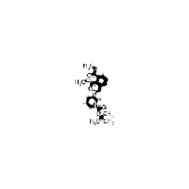 COC(=O)c1cccc(CO[C@H]2CCCN(C(=O)OC(C)(C)C)C2)c1C(=O)OC